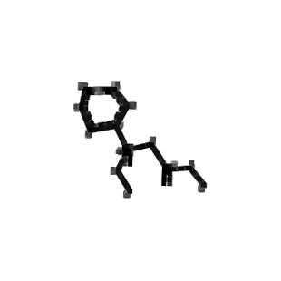 CCNC[SiH](CC)c1ccccc1